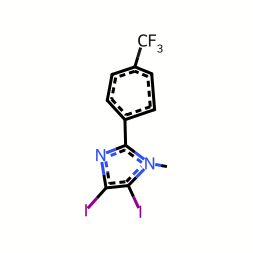 Cn1c(-c2ccc(C(F)(F)F)cc2)nc(I)c1I